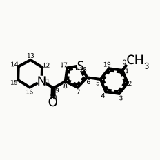 Cc1cccc(-c2cc(C(=O)N3CCCCC3)cs2)c1